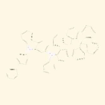 c1ccc(-c2ccc(-n3c4ccccc4c4ccc(-n5c6ccccc6c6ccc([Si]7(c8ccccc8)c8ccccc8[Si](c8ccccc8)(c8ccccc8)c8ccccc87)cc65)cc43)cc2)cc1